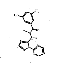 C[C@@H](c1ncnn1-c1ncccn1)N(C)C(=O)c1cc(C(F)(F)F)cc(C(F)(F)F)c1